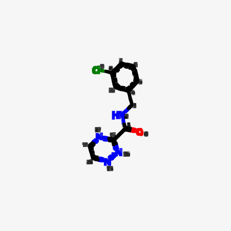 O=C(NCc1cccc(Cl)c1)c1nccnn1